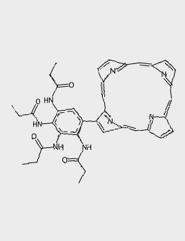 CCC(=O)Nc1cc(C2=CC3=CC4=NC(=CC5=NC(=CC6=NC(=CC2=N3)C=C6)C=C5)C=C4)c(NC(=O)CC)c(NC(=O)CC)c1NC(=O)CC